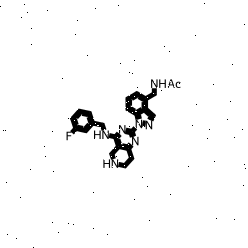 CC(=O)NCc1cccc2c1cnn2-c1nc2c(c(NCc3cccc(F)c3)n1)CNCC2